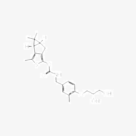 Cc1cc(CNC(=O)Oc2sc(C)c3c2C[C@@H]2[C@H]3C2(C)C)ccc1OC[C@@H](O)CO